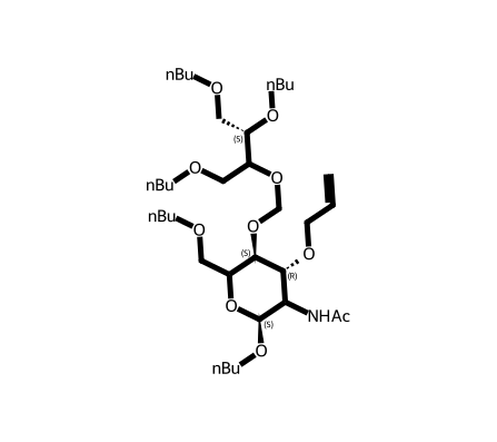 C=CCO[C@@H]1C(NC(C)=O)[C@@H](OCCCC)OC(COCCCC)[C@H]1OCOC(COCCCC)[C@H](COCCCC)OCCCC